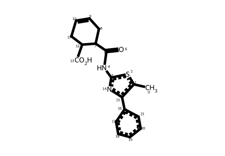 Cc1sc(NC(=O)C2CC=CCC2C(=O)O)nc1-c1ccccc1